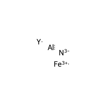 [Al].[Fe+3].[N-3].[Y]